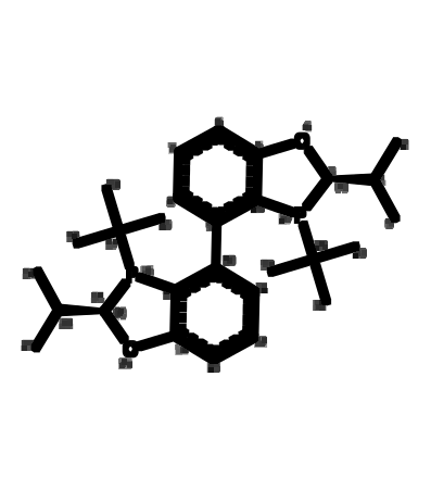 CC(C)[C@@H]1Oc2cccc(-c3cccc4c3P(C(C)(C)C)[C@H](C(C)C)O4)c2P1C(C)(C)C